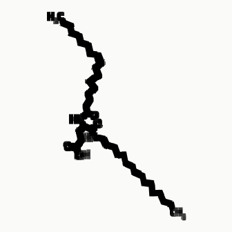 CCCCCCCC/C=C\CCCCCCCC(=O)NC(CCC(=O)O)C(=O)NCCCCCCCCCCCCCCCC